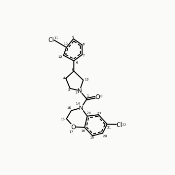 O=C(N1CCC(c2cccc(Cl)c2)C1)N1CCOc2ccc(Cl)cc21